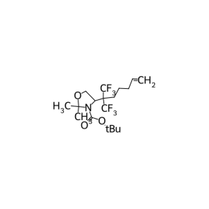 C=CCCCC(C1COC(C)(C)N1C(=O)OC(C)(C)C)(C(F)(F)F)C(F)(F)F